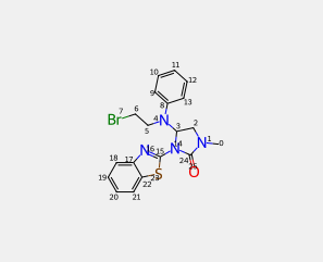 CN1CC(N(CCBr)c2ccccc2)N(c2nc3ccccc3s2)C1=O